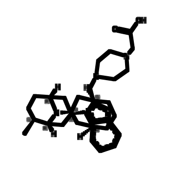 C[C@H]1CC[C@@H]2C[C@H](n3c(CN4CCN(CC(=O)O)CC4)nc4ccccc43)C[C@H]1N2[C@H]1C[C@@H]2CCC[C@@H](C2)C1